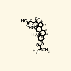 CC(C)C(=O)O[C@@H]1CCC2(C)C(CCC3C2C[C@H](O)C2(C)C(C(C)CCC(=O)O)CCC32)C1